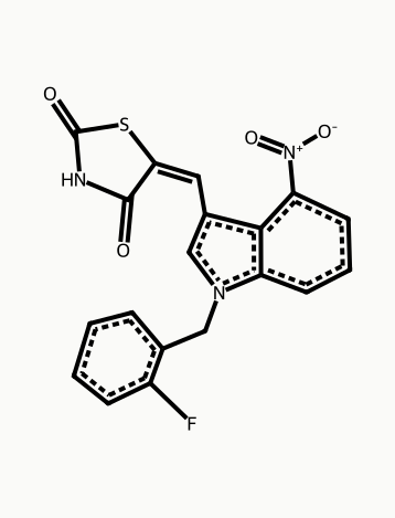 O=C1NC(=O)C(=Cc2cn(Cc3ccccc3F)c3cccc([N+](=O)[O-])c23)S1